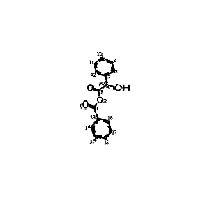 O=C(OC(=O)[C@H](O)c1ccccc1)c1ccccc1